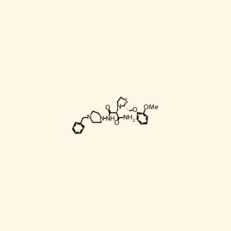 COc1ccccc1OC[C@H]1SCCN1[C@@H](C(N)=O)C(=O)NN1CCN(Cc2ccccc2)CC1